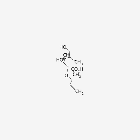 C=CCOCC=C.CC(=O)O.CC(O)CO